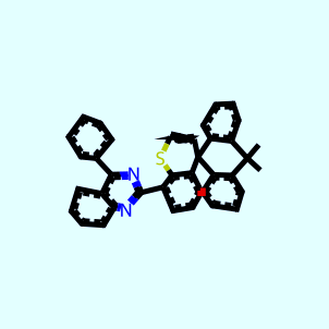 CC1(C)c2ccccc2C2(c3ccccc3Sc3c(-c4nc(-c5ccccc5)c5ccccc5n4)cccc32)c2ccccc21